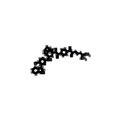 CN(C)C/C=C/C(=O)Nc1ccc(C(=O)NC23CC4CC5CC(Nc6ncc(Cl)c(-c7c[nH]c8ccccc78)n6)(C2)CC45C3)cc1